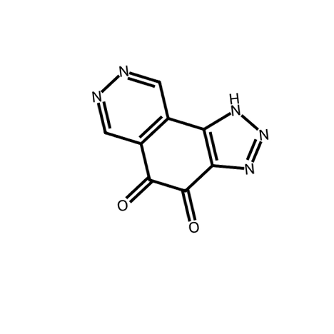 O=C1C(=O)c2nn[nH]c2-c2cnncc21